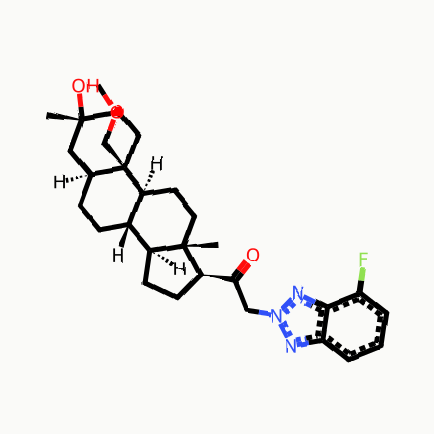 COC[C@]12CC[C@@](C)(O)C[C@@H]1CC[C@H]1[C@@H]3CC[C@H](C(=O)Cn4nc5cccc(F)c5n4)[C@@]3(C)CC[C@@H]12